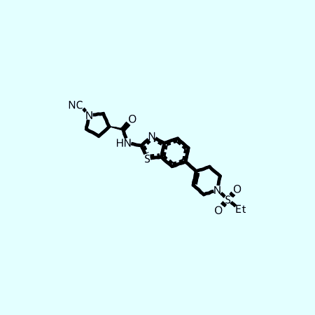 CCS(=O)(=O)N1CC=C(c2ccc3nc(NC(=O)[C@H]4CCN(C#N)C4)sc3c2)CC1